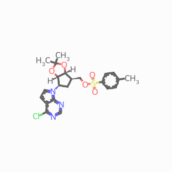 Cc1ccc(S(=O)(=O)OC[C@H]2C[C@@H](n3ccc4c(Cl)ncnc43)[C@@H]3OC(C)(C)O[C@H]23)cc1